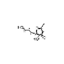 Cc1cc(=O)c(O)c(CCCO)o1